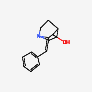 OC1/C(=C/c2ccccc2)N2CCC1CC2